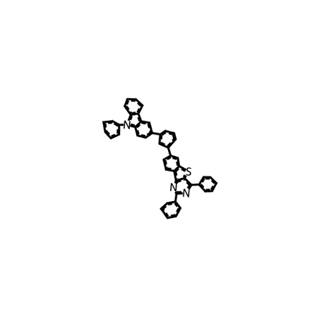 c1ccc(-c2nc(-c3ccccc3)c3sc4cc(-c5cccc(-c6ccc7c(c6)c6ccccc6n7-c6ccccc6)c5)ccc4c3n2)cc1